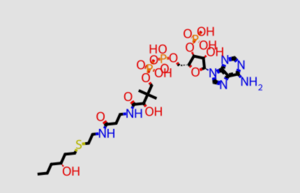 CCC[C@@H](O)CCSCCNC(=O)CCNC(=O)C(O)C(C)(C)COP(=O)(O)OP(=O)(O)OC[C@H]1O[C@@H](n2cnc3c(N)ncnc32)[C@H](O)[C@@H]1OP(=O)(O)O